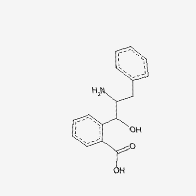 NC(Cc1ccccc1)C(O)c1ccccc1C(=O)O